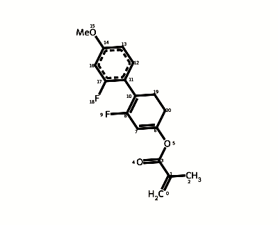 C=C(C)C(=O)OC1=CC(F)=C(c2ccc(OC)cc2F)CC1